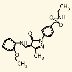 CCNS(=O)(=O)c1ccc(N2N=C(C)C(=CNc3ccccc3OCC)C2=O)cc1